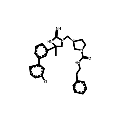 CC1(c2cccc(-c3cccc(Cl)c3)c2)CN(C[C@H]2CCN(C(=O)NCCc3ccccc3)C2)C(=N)N1